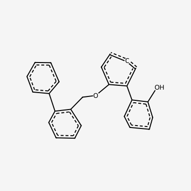 Oc1ccccc1-c1ccccc1OCc1ccccc1-c1ccccc1